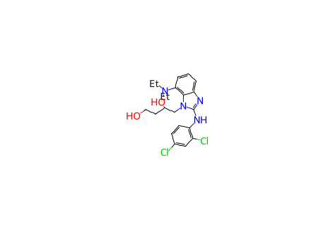 CCN(CC)c1cccc2nc(Nc3ccc(Cl)cc3Cl)n(CC(O)CCO)c12